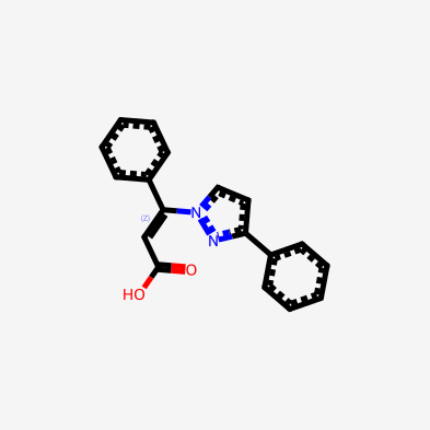 O=C(O)/C=C(/c1ccccc1)n1ccc(-c2ccccc2)n1